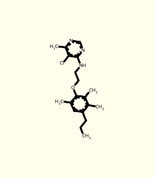 CCCc1cc(C)c(OCCNc2ncnc(C)c2Cl)c(C)c1C